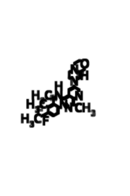 Cc1c([C@@H](C)Nc2nnc(C)c3ncc(N4CCN5CCOC[C@@H]5C4)cc23)cccc1C(C)(F)F